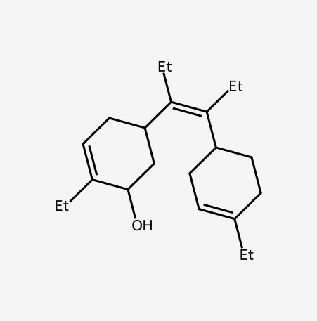 CCC1=CCC(C(CC)=C(CC)C2CC=C(CC)C(O)C2)CC1